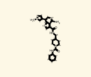 Cn1cc(-c2cnc(N)c3c(C(=O)NCC4CCN(C(=O)Nc5ccccc5)CC4)csc23)cn1